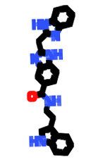 O=C(NCCc1c[nH]c2ccccc12)c1ccc2[nH]c(Cc3nc4ccccc4[nH]3)nc2c1